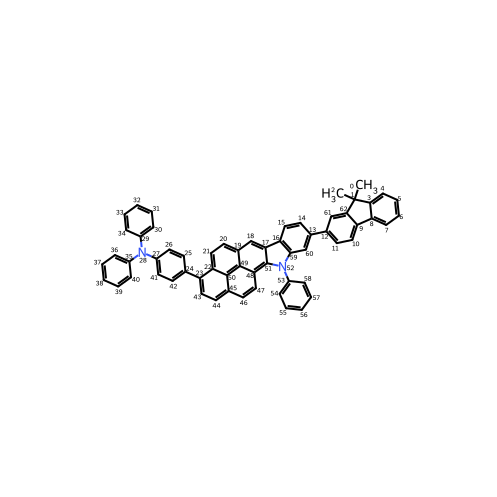 CC1(C)c2ccccc2-c2ccc(-c3ccc4c5cc6ccc7c(-c8ccc(N(c9ccccc9)c9ccccc9)cc8)ccc8ccc(c6c87)c5n(-c5ccccc5)c4c3)cc21